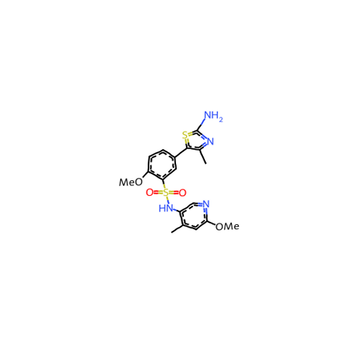 COc1cc(C)c(NS(=O)(=O)c2cc(-c3sc(N)nc3C)ccc2OC)cn1